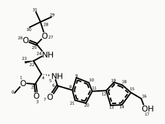 COC(=O)[C@@H](NC(=O)c1ccc(-c2ccc(CO)cc2)cc1)[C@@H](C)NC(=O)OC(C)(C)C